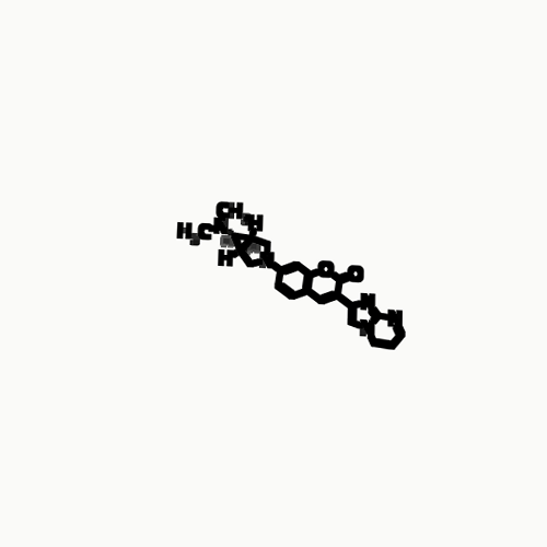 CN(C)[C@@H]1[C@@H]2CN(c3ccc4cc(-c5cn6cccnc6n5)c(=O)oc4c3)C[C@@H]21